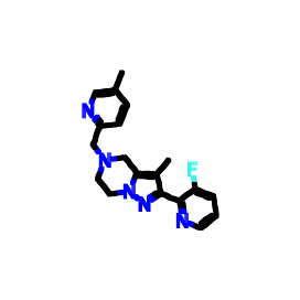 Cc1ccc(CN2CCn3nc(-c4ncccc4F)c(C)c3C2)nc1